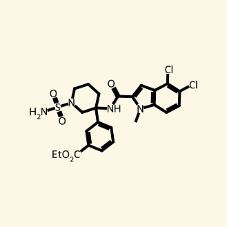 CCOC(=O)c1cccc(C2(NC(=O)c3cc4c(Cl)c(Cl)ccc4n3C)CCCN(S(N)(=O)=O)C2)c1